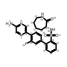 Nc1cnc(-c2ccc(-c3ccccc3S(=O)(=O)N[C@@H]3CCCCNC3=O)cc2F)cn1